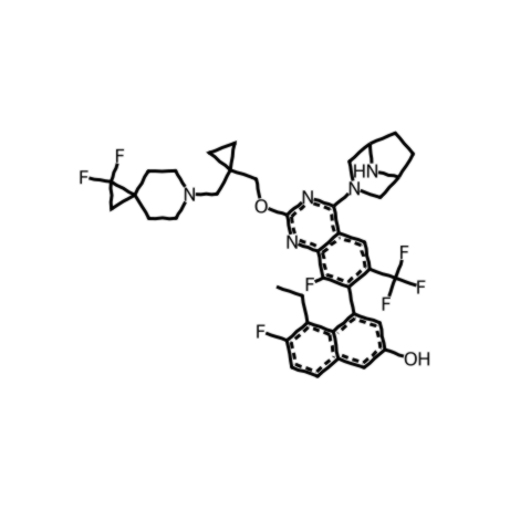 CCc1c(F)ccc2cc(O)cc(-c3c(C(F)(F)F)cc4c(N5CC6CCC(C5)N6)nc(OCC5(CN6CCC7(CC6)CC7(F)F)CC5)nc4c3F)c12